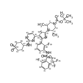 C[C@H]1CN(C(=O)OC(C)(C)C)C[C@H](C)N1c1nc(-c2cccc(NS(=O)(=O)c3c(F)cccc3C(F)(F)F)c2F)c(-c2ccnc(NC3CCS(=O)(=O)CC3)n2)s1